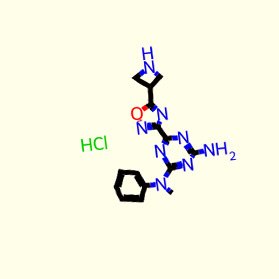 CN(c1ccccc1)c1nc(N)nc(-c2noc(C3CNC3)n2)n1.Cl